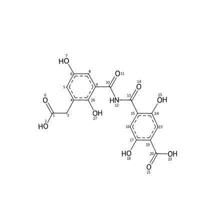 O=C(O)Cc1cc(O)cc(C(=O)NC(=O)c2cc(O)c(C(=O)O)cc2O)c1O